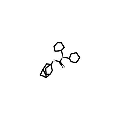 O=C(OC12CC3CC(C1)C(C3)C2)N(C1CCCCC1)C1CCCCC1